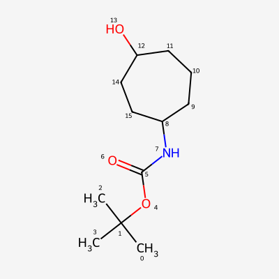 CC(C)(C)OC(=O)NC1CCCC(O)CC1